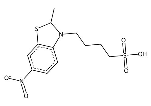 CC1Sc2cc([N+](=O)[O-])ccc2N1CCCCS(=O)(=O)O